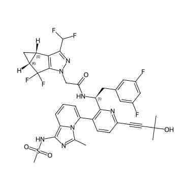 Cc1nc(NS(C)(=O)=O)c2cccc(-c3ccc(C#CC(C)(C)O)nc3[C@H](Cc3cc(F)cc(F)c3)NC(=O)Cn3nc(C(F)F)c4c3C(F)(F)[C@@H]3C[C@H]43)n12